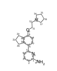 Nc1cccc(-c2ccc(OCCN3CCCC3)c3c2CCC3)n1